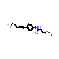 CCCC#Cc1ccc(NC(=O)CCC)cc1